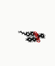 CCCCCC1CCC(c2ccc(OOCC(COC(=O)c3ccc(C4CCC(C)CC4)cc3)c3ccccc3)cc2)CC1